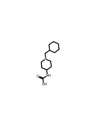 O=C(O)NC1CCN(CC2CCCCC2)CC1